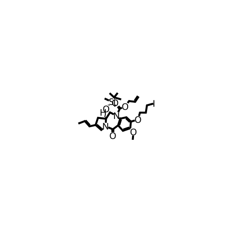 C=CCOC(=O)N1c2cc(OCCCI)c(OC)cc2C(=O)N2C=C(/C=C/C)C[C@H]2[C@@H]1O[Si](C)(C)C(C)(C)C